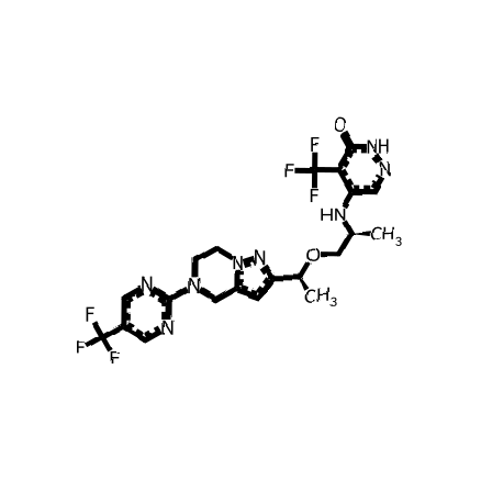 C[C@H](OC[C@H](C)Nc1cn[nH]c(=O)c1C(F)(F)F)c1cc2n(n1)CCN(c1ncc(C(F)(F)F)cn1)C2